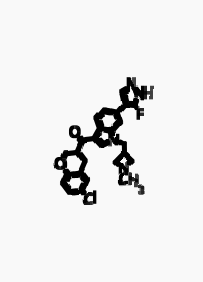 CN1CC(Cn2cc(C(=O)C3COc4ccc(Cl)cc4C3)c3ccc(-c4cn[nH]c4F)cc32)C1